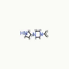 CC(C)N1CCN([C@@H]2CCNC2)CC1